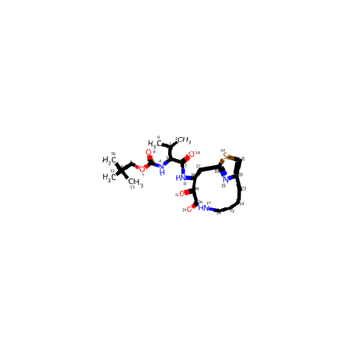 CC(C)C(NC(=O)OCC(C)(C)C)C(=O)NC1Cc2nc(cs2)CCCCNC(=O)C1=O